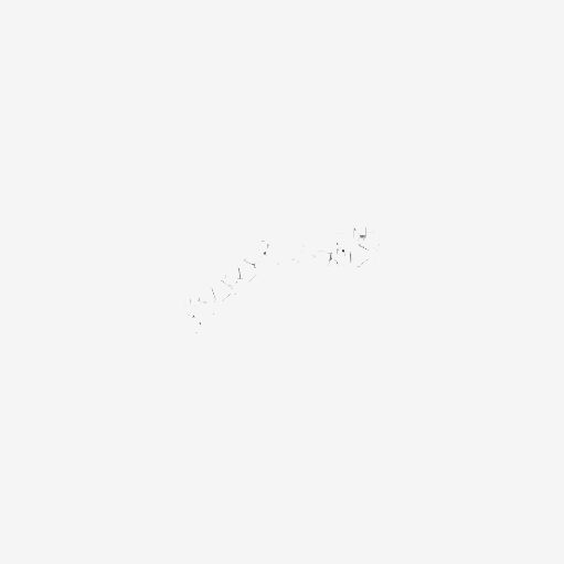 CN1CCOC(c2ccc(-c3ccc(C(=O)CCCCCCC(=O)Nc4ccccc4N)cc3)cc2)C1